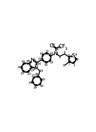 Cc1ccsc1CCN(C(=O)C(F)(F)F)c1ccc(-c2nc3ccccc3n2Cc2ccccc2)cc1